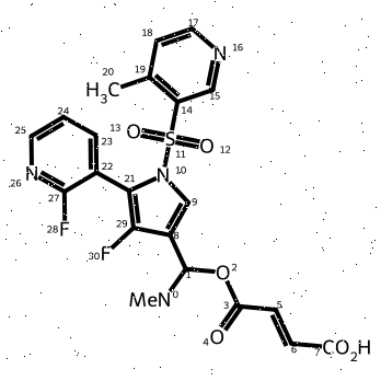 CNC(OC(=O)/C=C/C(=O)O)c1cn(S(=O)(=O)c2cnccc2C)c(-c2cccnc2F)c1F